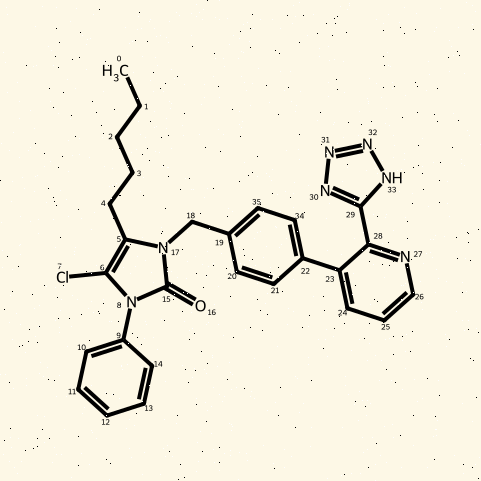 CCCCCc1c(Cl)n(-c2ccccc2)c(=O)n1Cc1ccc(-c2cccnc2-c2nnn[nH]2)cc1